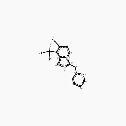 FC(F)(F)c1c(Cl)ccn2c(Cc3ccccn3)nnc12